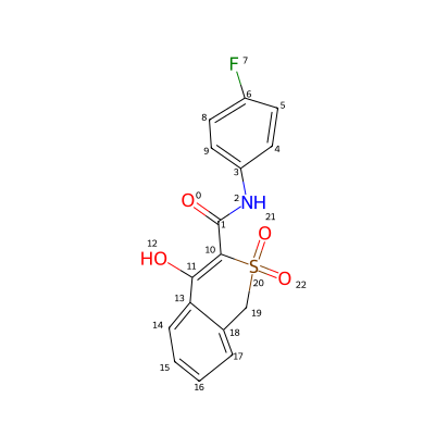 O=C(Nc1ccc(F)cc1)C1=C(O)c2ccccc2CS1(=O)=O